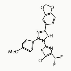 COc1ccc(N2N=C(c3ccc4c(c3)OCO4)NN2c2nc(C(F)F)c(Cl)s2)cc1